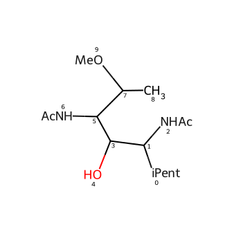 CCCC(C)C(NC(C)=O)C(O)C(NC(C)=O)C(C)OC